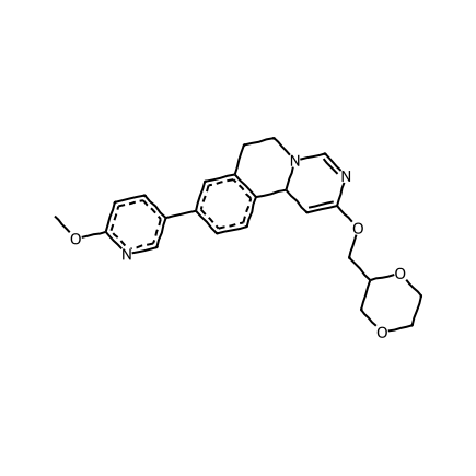 COc1ccc(-c2ccc3c(c2)CCN2C=NC(OCC4COCCO4)=CC32)cn1